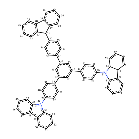 C1=CC2c3ccccc3N(c3ccc(-c4cc(-c5ccc(C6c7ccccc7-c7ccccc76)cc5)cc(-c5ccc(-n6c7ccccc7c7ccccc76)cc5)c4)cc3)C2C=C1